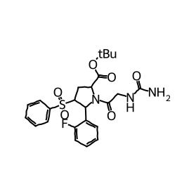 CC(C)(C)OC(=O)C1CC(S(=O)(=O)c2ccccc2)C(c2ccccc2F)N1C(=O)CNC(N)=O